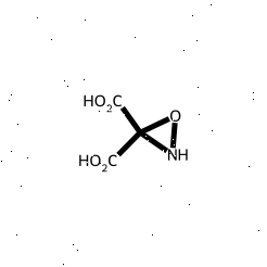 O=C(O)C1(C(=O)O)NO1